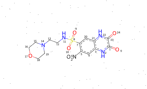 O=c1[nH]c2cc([N+](=O)[O-])c(S(=O)(=O)NCCN3CCOCC3)cc2[nH]c1=O